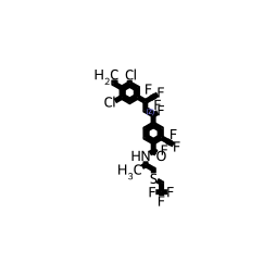 C=Cc1c(Cl)cc(C(/C=C(\F)c2ccc(C(=O)NC(C)CSCC(F)(F)F)c(C(F)(F)F)c2)C(F)(F)F)cc1Cl